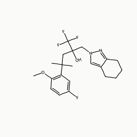 COc1ccc(F)cc1C(C)(C)CC(O)(Cn1cc2c(n1)CCCC2)C(F)(F)F